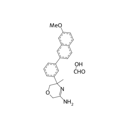 COc1ccc2ccc(-c3cccc(C4(C)COCC(N)=N4)c3)cc2c1.O=CO